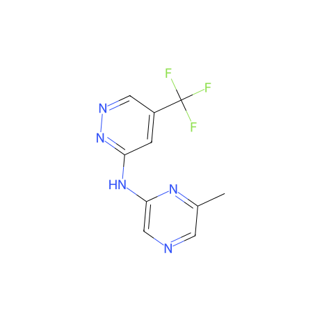 Cc1cncc(Nc2cc(C(F)(F)F)cnn2)n1